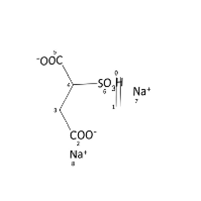 C=C.O=C([O-])CC(C(=O)[O-])S(=O)(=O)O.[Na+].[Na+]